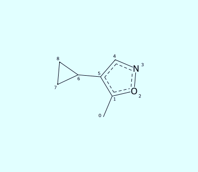 Cc1oncc1C1CC1